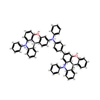 c1ccc(N(c2ccc(-c3cc4c5c(c3)N(c3ccccc3)c3ccccc3B5c3ccccc3O4)cc2)c2ccc3c(c2)Oc2cccc4c2B3c2ccccc2N4c2ccccc2)cc1